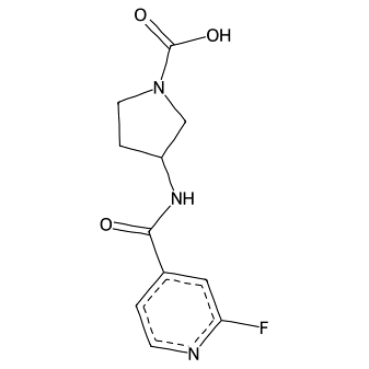 O=C(NC1CCN(C(=O)O)C1)c1ccnc(F)c1